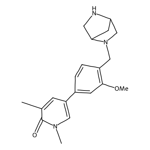 COc1cc(-c2cc(C)c(=O)n(C)c2)ccc1CN1CC2CC1CN2